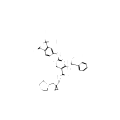 CC1(C)OC(=O)c2ccc(Nc3ncc(C(=O)NCC4(CN5CCOCC5)CC4)c(N[C@H](CO)c4ccccc4)n3)cc21